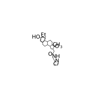 CCc1cc2c(cc1O)CCC1C2CC[C@]2(C)C(=O)C(CC(=O)NCc3ccccn3)CC12